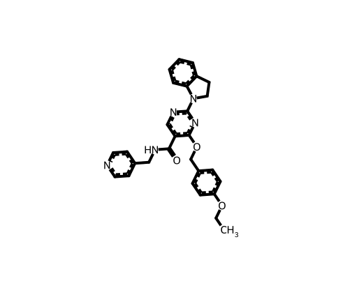 CCOc1ccc(COc2nc(N3CCc4ccccc43)ncc2C(=O)NCc2ccncc2)cc1